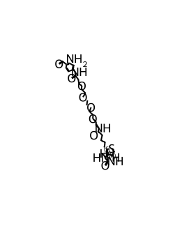 Nc1cc(NC(=O)CCOCCOCCOCCOCCNC(=O)CCCC[C@@H]2SC[C@@H]3NC(=O)N[C@@H]32)ccc1C=O